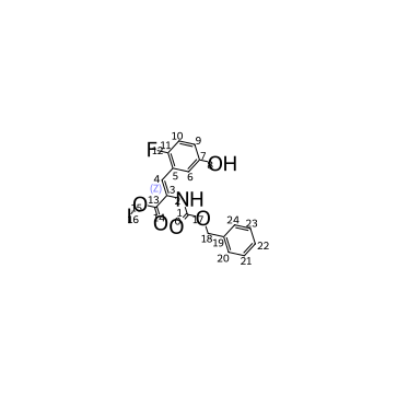 O=C(N/C(=C\c1cc(O)ccc1F)C(=O)OI)OCc1ccccc1